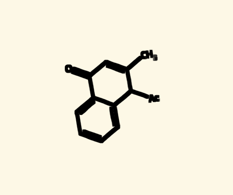 CC(=O)C1C(C)=CC(=O)c2ccccc21